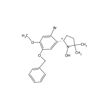 COc1cc(Br)c([C@@H]2CCC(C)(C)N2O)cc1OCc1ccccc1